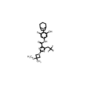 COC1(C)CN(c2nc(C(=O)Nc3cc(O)c(N4C5CCCC4CC5)c(F)c3)c(CC(F)(F)F)s2)C1